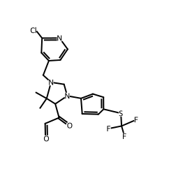 CC1(C)C(C(=O)C=O)N(c2ccc(SC(F)(F)F)cc2)CN1Cc1ccnc(Cl)c1